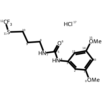 COc1cc(NC(=O)NCCCSC(F)(F)F)cc(OC)c1.Cl